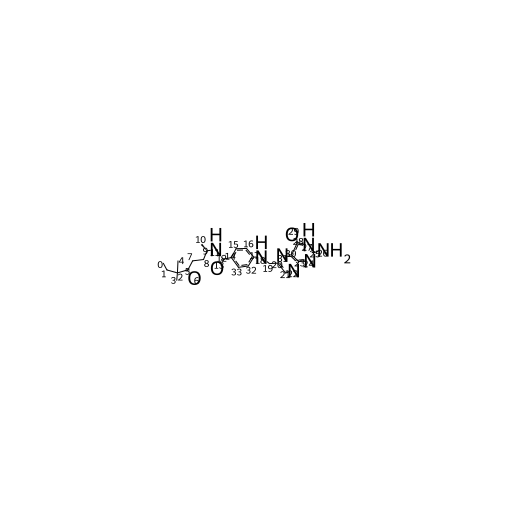 CCC(C)(C)C(=O)CC[C@@H](C)NC(=O)c1ccc(NCc2cnc3nc(N)[nH]c(=O)c3n2)cc1